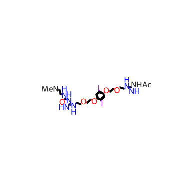 CNCCNC(=O)NC(=N)NCCOCCOc1cc(I)c(OCCOCCNC(=N)NC(C)=O)cc1I